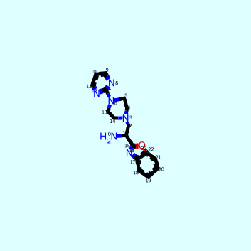 NC(CN1CCN(c2ncccn2)CC1)c1nc2ccccc2o1